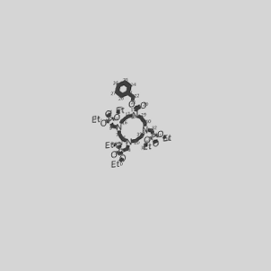 CCOP(=O)(CN1CCN(CP(=O)(OCC)OCC)CCN(C(=O)OCc2ccccc2)CCN(CP(=O)(OCC)OCC)CC1)OCC